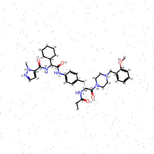 CCC(=O)N[C@H](Cc1ccc(NC(=O)C(NC(=O)c2ccnn2C)C2CCCCC2)cc1)C(=O)N1CCN(Cc2ccccc2OC)CC1